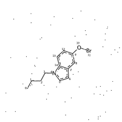 CCCCn1ccc2cc(OBr)ccc21